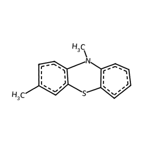 Cc1ccc2c(c1)Sc1ccccc1N2C